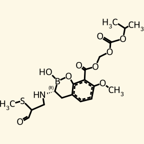 COc1ccc2c(c1C(=O)OCOC(=O)OC(C)C)OB(O)[C@@H](NCC(C=O)SC)C2